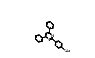 CC(C)(C)c1ccc(-c2nc(-c3ccccc3)cc(-c3ccccc3)n2)cc1